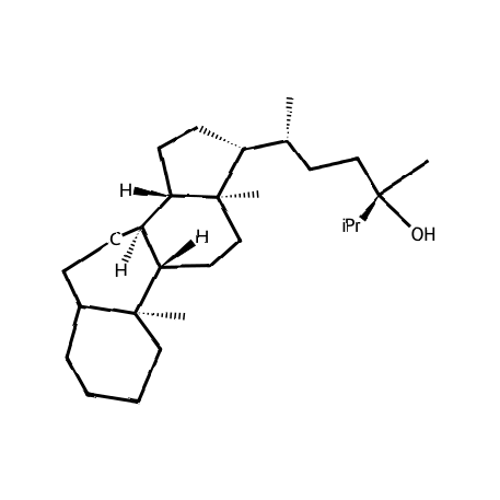 CC(C)[C@@](C)(O)CC[C@@H](C)[C@H]1CC[C@H]2[C@@H]3CCC4CCCC[C@]4(C)[C@H]3CC[C@]12C